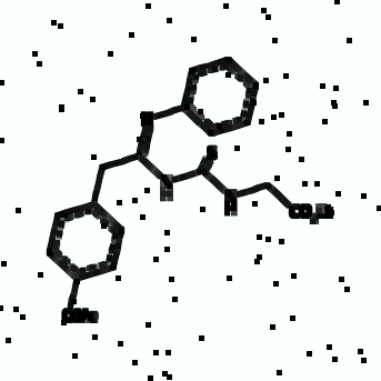 CCOC(=O)CNC(=S)N/C(Cc1ccc(OC)cc1)=N\c1ccccc1